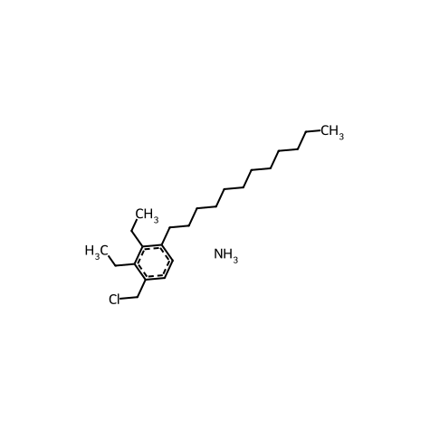 CCCCCCCCCCCCc1ccc(CCl)c(CC)c1CC.N